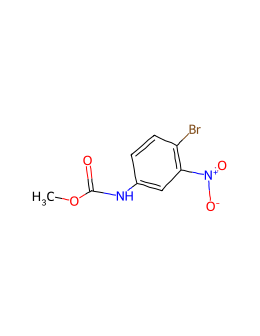 COC(=O)Nc1ccc(Br)c([N+](=O)[O-])c1